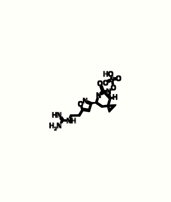 N=C(N)NCCc1cc([C@@H]2CC3(CC3)[C@@H]3CN2C(=O)N3OS(=O)(=O)O)no1